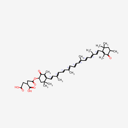 CC1=C(/C=C/C(C)=C/C=C/C(C)=C/C=C/C=C(C)/C=C/C=C(C)/C=C/C2=C(C)C(=O)C(OC(=O)CC(CC(=O)O)C(=O)O)CC2(C)C)C(C)(C)CC(C)C1=O